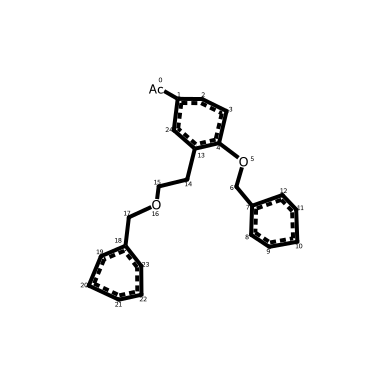 CC(=O)c1ccc(OCc2ccccc2)c(CCOCc2ccccc2)c1